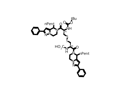 CCCCCC1c2cc(-c3ccccc3)nn2CCN1C(=O)[C@H](CSSC[C@H](NC(=O)OC(C)(C)C)C(=O)N1CCn2nc(-c3ccccc3)cc2C1CCCCC)NC(=O)O